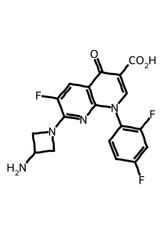 NC1CN(c2nc3c(cc2F)c(=O)c(C(=O)O)cn3-c2ccc(F)cc2F)C1